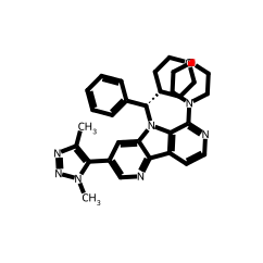 Cc1nnn(C)c1-c1cnc2c3ccnc(N4CCOCC4)c3n([C@H](c3ccccc3)C3CCOCC3)c2c1